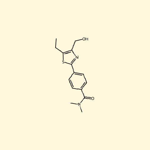 CCc1sc(-c2ccc(C(=O)N(C)C)cc2)nc1CO